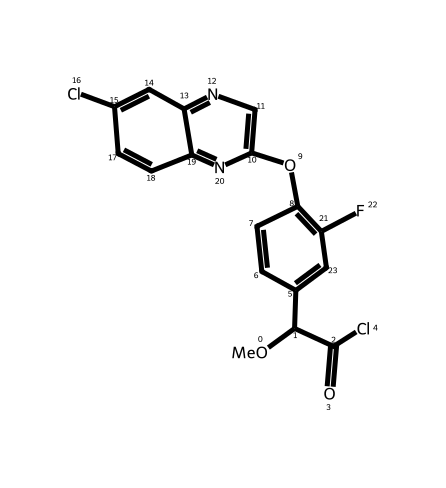 COC(C(=O)Cl)c1ccc(Oc2cnc3cc(Cl)ccc3n2)c(F)c1